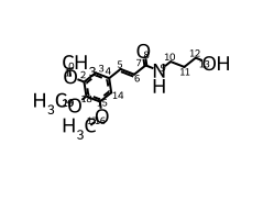 COc1cc(C=CC(=O)NCCCO)cc(OC)c1OC